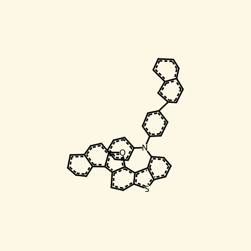 c1ccc(N(c2ccc(-c3ccc4ccccc4c3)cc2)c2cccc3sc4ccc5c(oc6ccc7ccccc7c65)c4c23)cc1